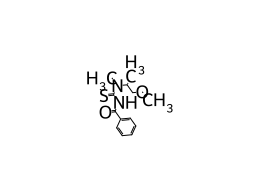 COC[C@@H](C)N(C)C(=S)NC(=O)c1ccccc1